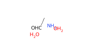 CC=O.N.O.O